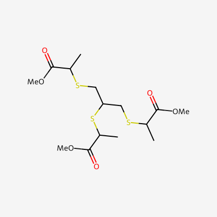 COC(=O)C(C)SCC(CSC(C)C(=O)OC)SC(C)C(=O)OC